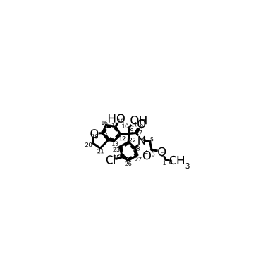 CCOC(=O)CN1C(=O)C(CO)(c2cc3c(cc2O)OCC3)c2cc(Cl)ccc21